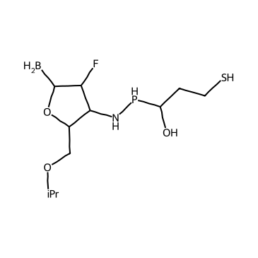 BC1OC(COC(C)C)C(NPC(O)CCS)C1F